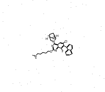 CN(C)CCCCCOc1nc(N2C[C@H]3CC[C@@H](C2)N3)c2cc(Cl)c(-c3cccc4ccccc34)c(F)c2n1